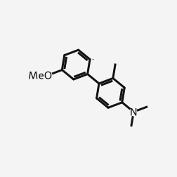 COc1cc[c]c(-c2ccc(N(C)C)cc2C)c1